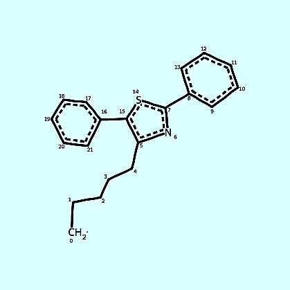 [CH2]CCCCc1nc(-c2ccccc2)sc1-c1ccccc1